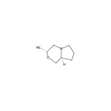 N#C[C@@H]1CN2CCC[C@H]2CO1